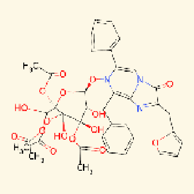 CC(=O)OC(O)[C@@]1(OC(C)=O)O[C@@H](On2c(-c3ccccc3)cn3c(=O)c(Cc4ccco4)nc-3c2Cc2ccccc2)[C@H](O)[C@](O)(OC(C)=O)[C@]1(O)OC(C)=O